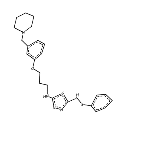 c1ccc(SNc2nnc(NCCCOc3cccc(CN4CCCCC4)c3)s2)cc1